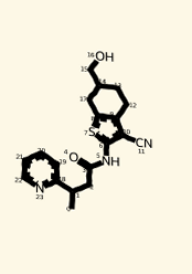 CC(CC(=O)Nc1sc2c(c1C#N)CCC(CO)C2)c1ccccn1